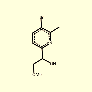 COCC(O)c1ccc(Br)c(C)n1